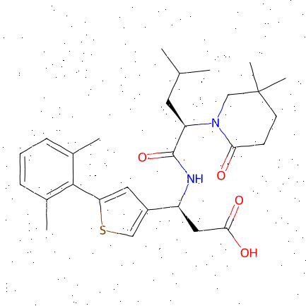 Cc1cccc(C)c1-c1cc([C@H](CC(=O)O)NC(=O)[C@@H](CC(C)C)N2CC(C)(C)CCC2=O)cs1